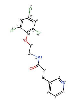 O=C(C=Cc1cccnc1)NCCOc1c(Cl)cc(Cl)cc1Cl